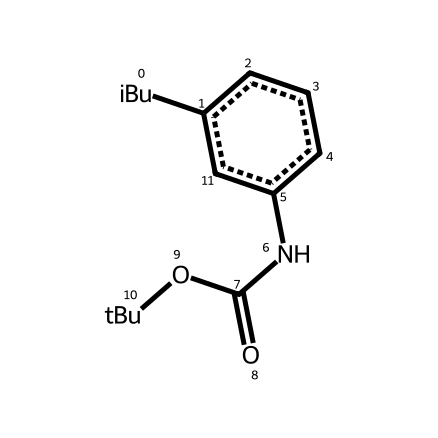 CCC(C)c1cccc(NC(=O)OC(C)(C)C)c1